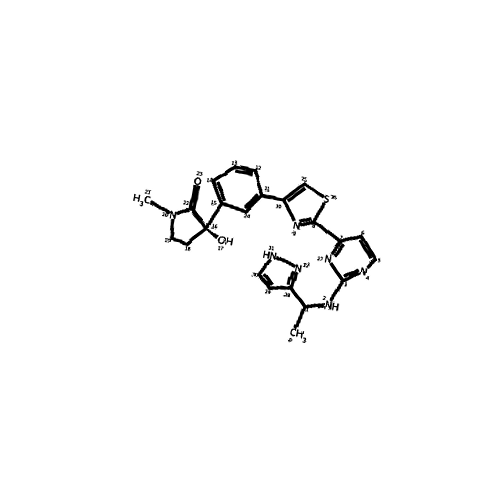 CC(Nc1nccc(-c2nc(-c3cccc([C@]4(O)CCN(C)C4=O)c3)cs2)n1)c1cc[nH]n1